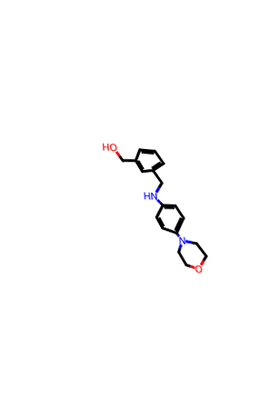 OCc1cccc(CNc2ccc(N3CCOCC3)cc2)c1